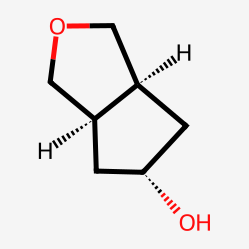 O[C@@H]1C[C@H]2COC[C@H]2C1